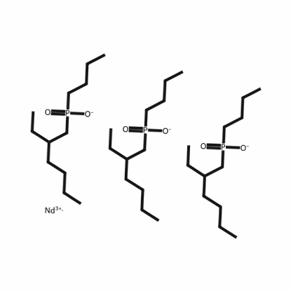 CCCCC(CC)CP(=O)([O-])CCCC.CCCCC(CC)CP(=O)([O-])CCCC.CCCCC(CC)CP(=O)([O-])CCCC.[Nd+3]